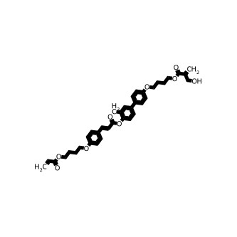 C=CC(=O)OCCCCOc1ccc(/C=C/C(=O)Oc2ccc(-c3ccc(OCCCCOC(=O)C(=C)CO)cc3)cc2C)cc1